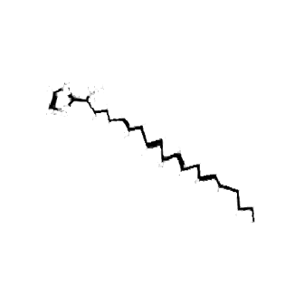 CCCCCC=CCC=CCC=CCC=CCCCC(O)c1nccs1